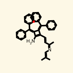 CC(C)=C/N=C(C)\C=C\C1=C(N)C(=C(c2ccccc2)c2ccccc2)C1=C(c1ccccc1)c1ccccc1